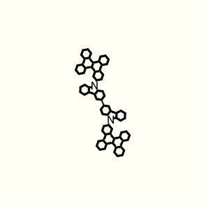 c1ccc2c(c1)c1ccccc1c1c3cc(-n4c5ccccc5c5cc(-c6ccc7c(c6)c6ccccc6n7-c6ccc7c8ccccc8c8c9ccccc9c9ccccc9c8c7c6)ccc54)ccc3c3ccccc3c21